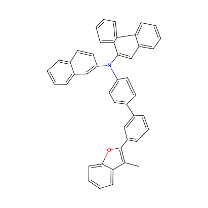 Cc1c(-c2cccc(-c3ccc(N(c4ccc5ccccc5c4)c4cc5ccccc5c5ccccc45)cc3)c2)oc2ccccc12